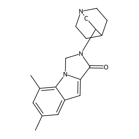 Cc1cc(C)c2c(c1)cc1n2CN(C2CN3CCC2CC3)C1=O